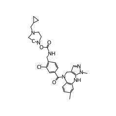 Cc1ccc2c(c1)Nc1c(cnn1C)CN2C(=O)c1ccc(CNC(=O)ON2CCN(CC3CC3)CC2)c(Cl)c1